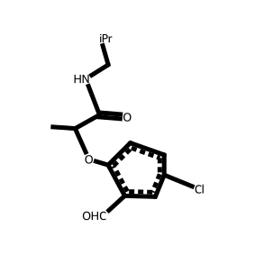 CC(C)CNC(=O)C(C)Oc1ccc(Cl)cc1C=O